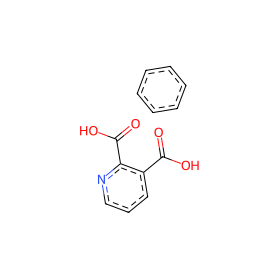 O=C(O)c1cccnc1C(=O)O.c1ccccc1